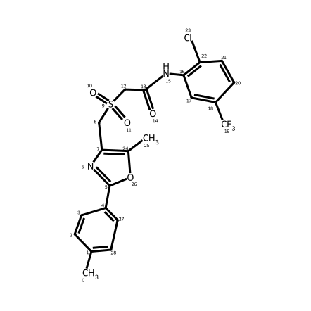 Cc1ccc(-c2nc(CS(=O)(=O)CC(=O)Nc3cc(C(F)(F)F)ccc3Cl)c(C)o2)cc1